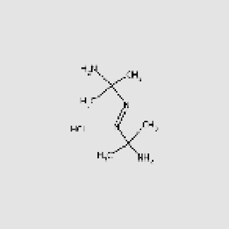 CC(C)(N)N=NC(C)(C)N.Cl